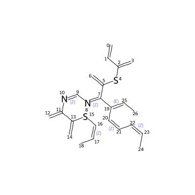 C=CC(=C)SC(=C)C(=N\C=N/C(=C)C(=C)S/C=C\C)/C(/C=C\C=C/C)=C/C